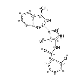 C[C@@H](NC(=O)c1n[nH]c(NC(=O)c2ccccc2Cl)c1Br)c1ccccc1